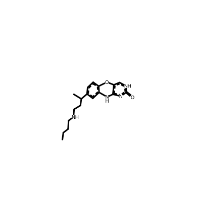 CCCCNCCC(C)c1ccc2c(c1)Nc1nc(=O)[nH]cc1O2